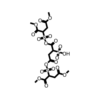 COC(=O)CC(C(=O)OC)S(=O)(=O)OC(=O)CC(C(=O)OS(=O)(=O)C(CC(=O)OC)C(=O)OC)S(=O)(=O)O